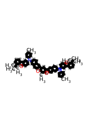 Cc1ccc(N(c2ccc3cc4c(cc3c2)oc2c(C)c3oc5cc6cc(N(c7ccc(C)cc7)c7ccc8oc9c(C(C)(C)C)cccc9c8c7)ccc6cc5c3cc24)c2ccc3oc4c(C(C)(C)C)cccc4c3c2)cc1